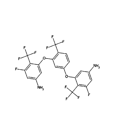 Nc1cc(F)c(C(F)(F)F)c(Oc2ccc(C(F)(F)F)c(Oc3cc(N)cc(F)c3C(F)(F)F)c2)c1